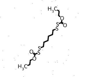 CCCOC(=O)SSCCCCCCSSC(=O)OCCC